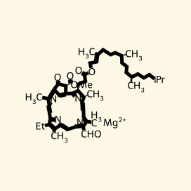 CCC1=C(C)c2cc3[n-]c(cc4nc(c5c6[n-]c(cc1n2)c(C)c6C(=O)[C@@H]5C(=O)OC)[C@@H](CCC(=O)OC/C=C(\C)CCC[C@H](C)CCC[C@H](C)CCCC(C)C)[C@@H]4C)c(C)c3C=O.[Mg+2]